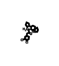 CN(C(=O)Cc1ccc(Cl)c(Cl)c1)[C@H]1CC2(CCCN2)CC[C@@H]1N1CCCC1